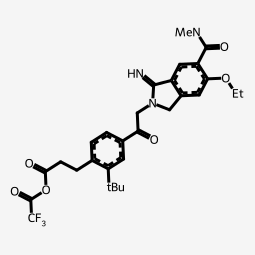 CCOc1cc2c(cc1C(=O)NC)C(=N)N(CC(=O)c1ccc(CCC(=O)OC(=O)C(F)(F)F)c(C(C)(C)C)c1)C2